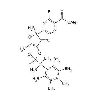 Bc1c(B)c(B)c(C(B)(B)S(=O)(=O)OC2=C(N)OC(B)(c3ccc(C(=O)OC)c(F)c3)C2=O)c(B)c1B